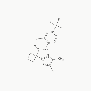 Cc1nn(C2(C(=O)Nc3ccc(C(F)(F)F)cc3Cl)CCC2)cc1I